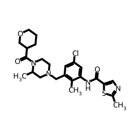 Cc1ncc(C(=O)Nc2cc(Cl)cc(CN3CCN(C(=O)C4CCCOC4)C(C)C3)c2C)s1